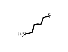 FCCCC[SiH3]